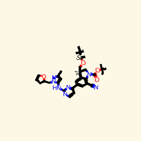 Cc1cc(Nc2nccc(-c3cc(C#N)c4c(c3)[C@@](C)(CO[Si](C)(C)C(C)(C)C)CN4C(=O)OC(C)(C)C)n2)n(CC2CCCO2)n1